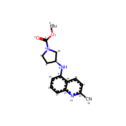 CC(C)(C)OC(=O)N1CC[C@H](Nc2cccc3nc(C#N)ccc23)C1